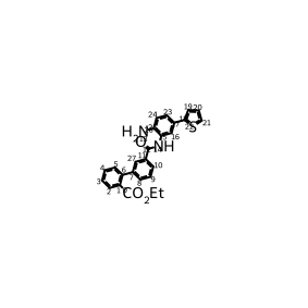 CCOC(=O)c1ccccc1-c1cccc(C(=O)Nc2cc(-c3cccs3)ccc2N)c1